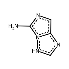 Nc1ncc2nc[nH]n12